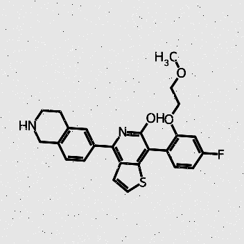 COCCOc1cc(F)ccc1-c1c(O)nc(-c2ccc3c(c2)CCNC3)c2ccsc12